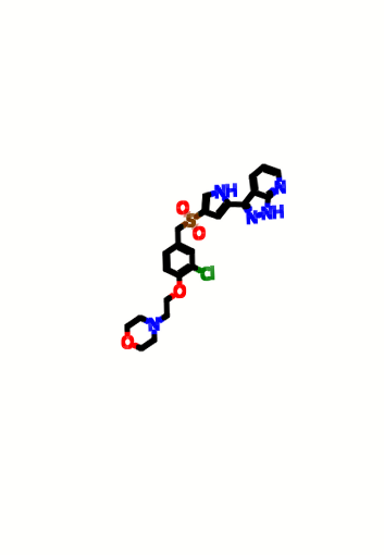 O=S(=O)(Cc1ccc(OCCN2CCOCC2)c(Cl)c1)c1c[nH]c(-c2n[nH]c3ncccc23)c1